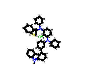 Cn1c2ccccc2c2c(-c3cccc(N(c4ccccc4)c4cccc(N(c5ccccc5)c5csc6ccccc56)c4Cl)c3)cccc21